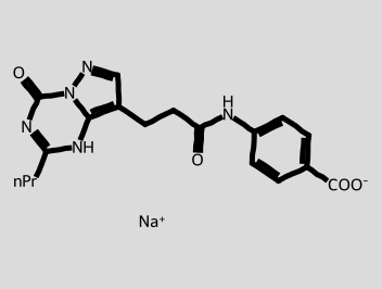 CCCc1nc(=O)n2ncc(CCC(=O)Nc3ccc(C(=O)[O-])cc3)c2[nH]1.[Na+]